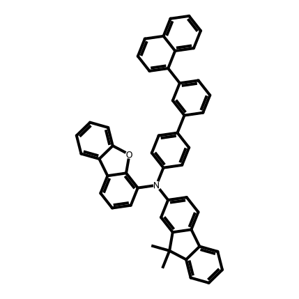 CC1(C)c2ccccc2-c2ccc(N(c3ccc(-c4cccc(-c5cccc6ccccc56)c4)cc3)c3cccc4c3oc3ccccc34)cc21